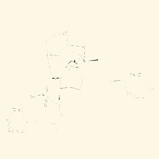 CC(C)CN([C@@H]1CC[C@H]2[C@H]3Cc4c(O)ccc5c4[C@@]2(CCN3CCc2ccccc2)[C@H]1O5)S(=O)(=O)Cc1ccccc1